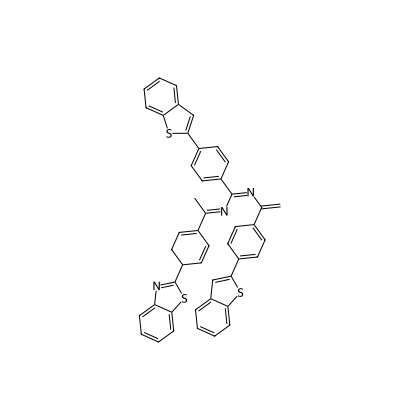 C=C(/N=C(\N=C(/C)C1=CCC(c2nc3ccccc3s2)C=C1)c1ccc(-c2cc3ccccc3s2)cc1)c1ccc(-c2cc3ccccc3s2)cc1